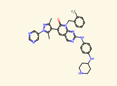 Cc1nn(-c2cncnc2)c(C)c1-c1cc2cnc(Nc3ccc(NC4CCNCC4)cc3)nc2n(Cc2ccccc2C(F)(F)F)c1=O